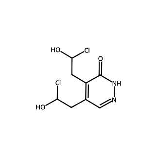 O=c1[nH]ncc(CC(O)Cl)c1CC(O)Cl